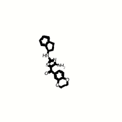 Nc1nc(NC2CCc3ccccc32)sc1C(=O)c1ccc2c(c1)OCCO2